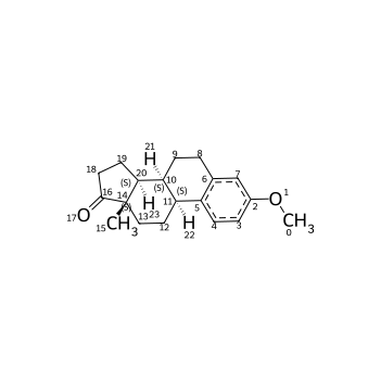 COc1ccc2c(c1)CC[C@H]1[C@@H]2CC[C@]2(C)C(=O)CC[C@@H]12